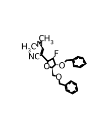 CN(C)/C=C(\C#N)C1O[C@H](COCc2ccccc2)[C@@H](OCc2ccccc2)[C@H]1F